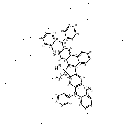 Cc1ccccc1N(c1ccccc1)c1ccc2c(c1)C(C)(C)c1c-2c2ccccc2c2cc(N(c3ccccc3)c3ccccc3C)ccc12